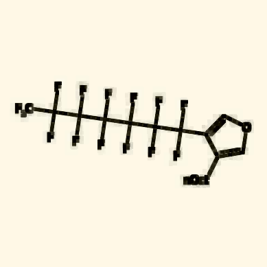 CCCCCCCCc1cocc1C(F)(F)C(F)(F)C(F)(F)C(F)(F)C(F)(F)C(F)(F)C(F)(F)F